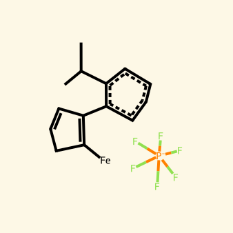 CC(C)c1ccccc1C1=[C]([Fe])CC=C1.F[P-](F)(F)(F)(F)F